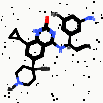 C=C[C@@H](Nc1nc(=O)[nH]c2c(C3CC3)cc(C3(OC)CCN(C(C)=O)CC3)cc12)c1cc(N)cc(C(F)(F)F)c1